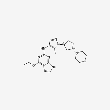 CCOc1nc(Nc2cnn([C@H]3CC[C@H](N4CCOCC4)C3)c2C)nc2[nH]ccc12